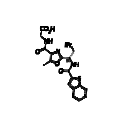 Cc1oc([C@H](CC(C)C)NC(=O)c2cc3ccccc3s2)nc1C(=O)NCC(=O)O